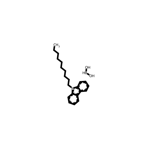 CCCCCCCCCCn1c2ccccc2c2ccccc21.OBO